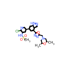 CC1CN(Cc2nnc(-c3cc(-c4cnc(Cl)c(NS(C)(=O)=O)c4)cc4[nH]ncc34)o2)C[C@H](C)O1